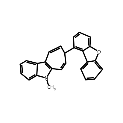 Cn1c2c(c3ccccc31)C=CC(c1cccc3oc4ccccc4c13)C=C2